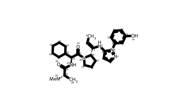 CC=C(Nc1ccnn1-c1cccc(O)c1)[C@@H]1CCCN1C(=O)[C@@H](NC(=O)[C@H](C)NC)C1CCCCC1